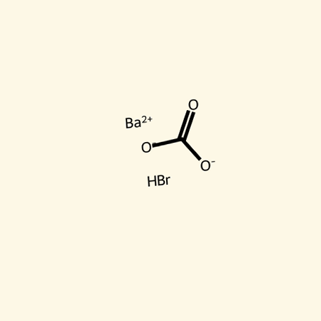 Br.O=C([O-])[O-].[Ba+2]